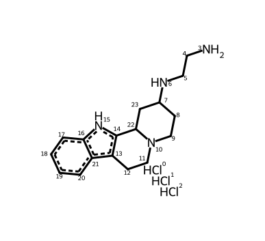 Cl.Cl.Cl.NCCNC1CCN2CCc3c([nH]c4ccccc34)C2C1